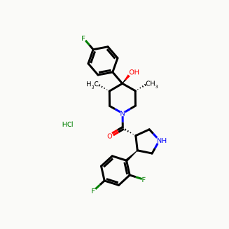 C[C@@H]1CN(C(=O)[C@@H]2CNC[C@H]2c2ccc(F)cc2F)C[C@H](C)[C@]1(O)c1ccc(F)cc1.Cl